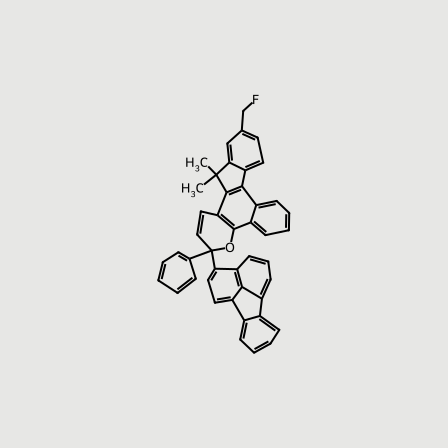 CC1(C)c2cc(CF)ccc2-c2c1c1c(c3ccccc23)OC(c2ccccc2)(c2ccc3c4c(cccc24)-c2ccccc2-3)C=C1